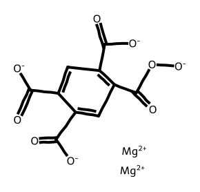 O=C([O-])c1cc(C(=O)[O-])c(C(=O)O[O-])cc1C(=O)[O-].[Mg+2].[Mg+2]